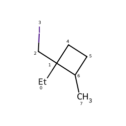 CCC1(CI)CCC1C